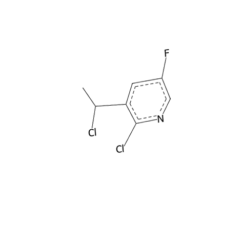 CC(Cl)c1cc(F)cnc1Cl